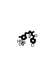 Cc1cc(Cc2cc(C)c(C(=O)c3ccc(Cl)cc3)n2C)ccc1NS(C)(=O)=O